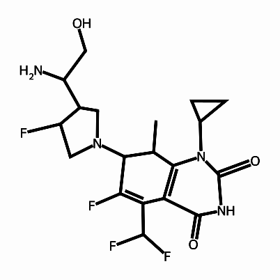 CC1c2c(c(=O)[nH]c(=O)n2C2CC2)C(C(F)F)=C(F)C1N1CC(F)C(C(N)CO)C1